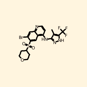 Cc1c(Nc2ccnc3cc(Br)c(S(=O)(=O)C4CCOCC4)cc23)n[nH]c1C(F)(F)F